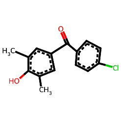 Cc1cc(C(=O)c2ccc(Cl)cc2)cc(C)c1O